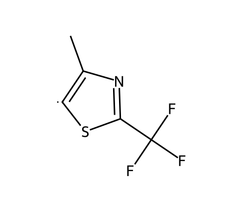 Cc1[c]sc(C(F)(F)F)n1